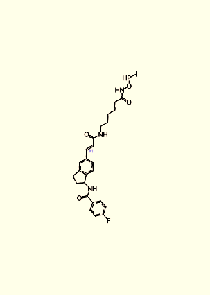 O=C(/C=C/c1ccc2c(c1)CCC2NC(=O)c1ccc(F)cc1)NCCCCCC(=O)NOPI